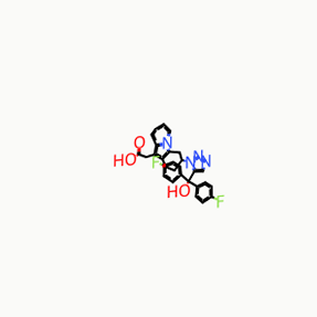 O=C(O)Cc1c2c(n3ccccc13)CC(n1nncc1C(O)(c1ccc(F)cc1)c1ccc(F)cc1)CC2